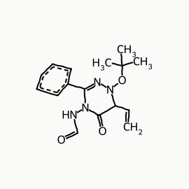 C=CC1C(=O)N(NC=O)C(c2ccccc2)=NN1OC(C)(C)C